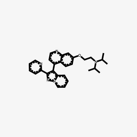 CC(C)N(CCOc1ccc2c(-c3c(-c4ccccn4)nn4ccccc34)ccnc2c1)C(C)C